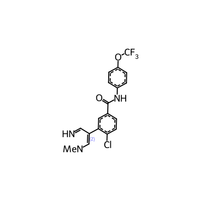 CN/C=C(\C=N)c1cc(C(=O)Nc2ccc(OC(F)(F)F)cc2)ccc1Cl